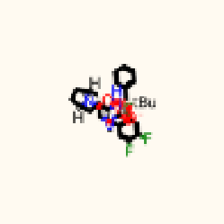 CN(CC(=O)N1[C@@H]2CC[C@H]1C[C@H]([C@@H](Cc1cc(F)c(F)cc1F)N[S@@+]([O-])C(C)(C)C)C2)C(=O)OCc1ccccc1